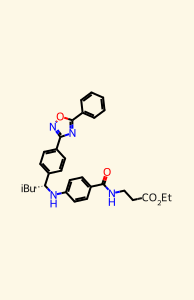 CCOC(=O)CCNC(=O)c1ccc(N[C@@H](c2ccc(-c3noc(-c4ccccc4)n3)cc2)C(C)CC)cc1